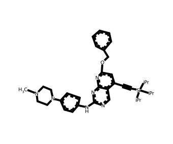 CC(C)[Si](C#Cc1cc(OCc2ccccc2)nc2nc(Nc3ccc(N4CCN(C)CC4)cc3)ncc12)(C(C)C)C(C)C